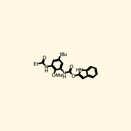 CCC(=O)Nc1cc(C(C)(C)C)cc(NC(=O)Oc2cc3ccccc3[nH]2)c1OC